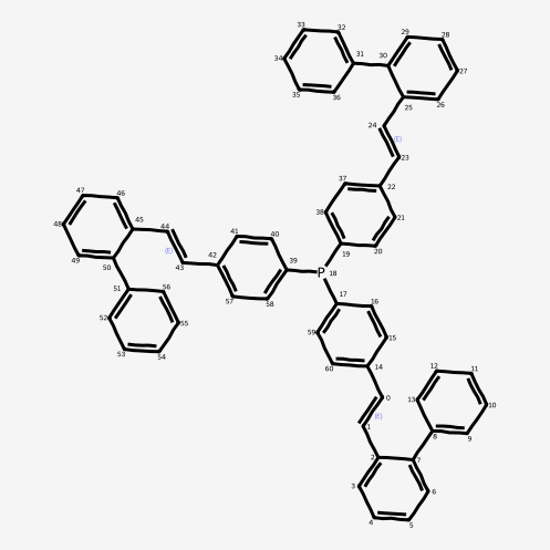 C(=C\c1ccccc1-c1ccccc1)/c1ccc(P(c2ccc(/C=C/c3ccccc3-c3ccccc3)cc2)c2ccc(/C=C/c3ccccc3-c3ccccc3)cc2)cc1